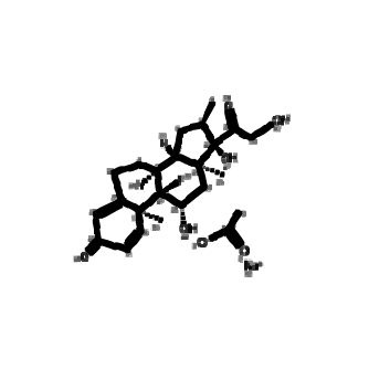 CC(=O)[O-].C[C@@H]1C[C@H]2[C@@H]3CCC4=CC(=O)C=C[C@]4(C)[C@@]3(F)[C@@H](O)C[C@]2(C)[C@@]1(O)C(=O)CO.[Na+]